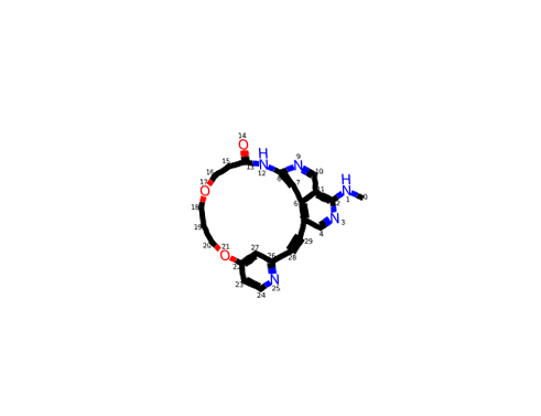 CNc1ncc2c3cc(ncc13)NC(=O)CCOCCCOc1ccnc(c1)C#C2